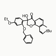 CCOc1ccc(C2(O)COc3c(ccc(C)c3/C=C\C(C)(C)C)C2=O)c(OCc2ccccc2)c1